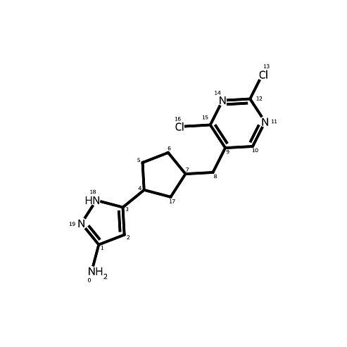 Nc1cc(C2CCC(Cc3cnc(Cl)nc3Cl)C2)[nH]n1